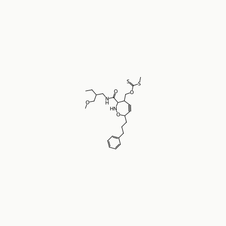 CCC(CNC(=O)C1NOC(CCCc2ccccc2)C#CC1COC(=S)SC)COC